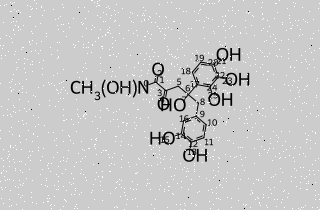 CN(O)C(=O)C(=O)CC(O)(Cc1ccc(O)c(O)c1)c1ccc(O)c(O)c1O